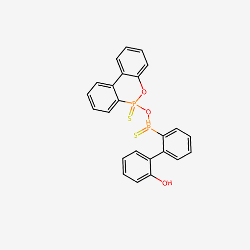 Oc1ccccc1-c1ccccc1[PH](=S)OP1(=S)Oc2ccccc2-c2ccccc21